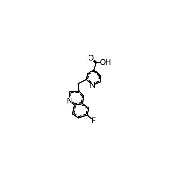 O=C(O)c1ccnc(Cc2cnc3ccc(F)cc3c2)c1